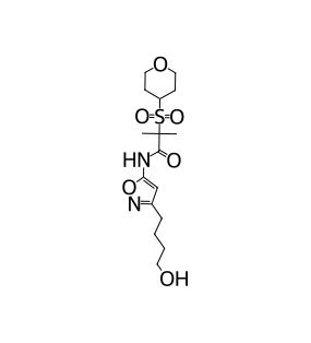 CC(C)(C(=O)Nc1cc(CCCCO)no1)S(=O)(=O)C1CCOCC1